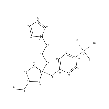 CCC1CSC(CCCn2ccnc2)(Cc2ccc(C(F)(F)F)cc2)S1